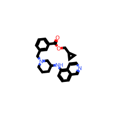 O=C(OCC1CC1)c1cccc(CN2CCCC(Nc3cccc4cnccc34)C2)c1